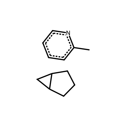 C1CC2CC2C1.Cc1ccccn1